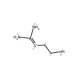 CCCCC[S+]=C(N)N